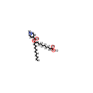 CCCCCCCCCCC(CCCCCCCCC(=O)OC)OC(=O)C1CCN(C)CC1